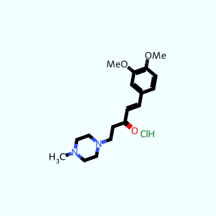 COc1ccc(C=CC(=O)CCN2CCN(C)CC2)cc1OC.Cl